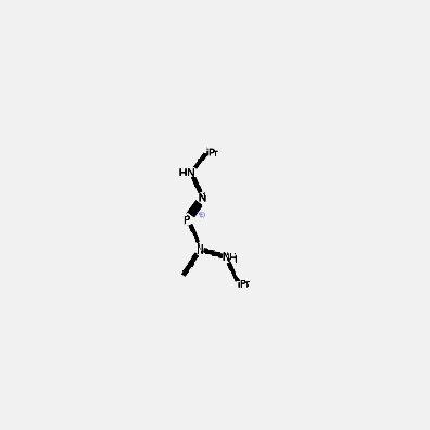 CC(C)N/N=P/N(C)NC(C)C